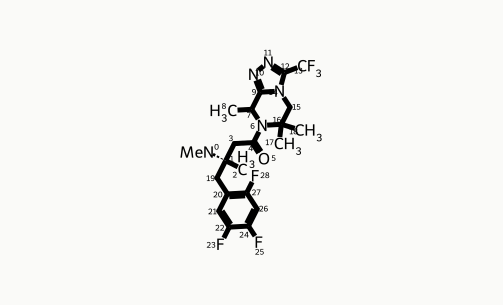 CN[C@@](C)(CC(=O)N1C(C)c2nnc(C(F)(F)F)n2CC1(C)C)Cc1cc(F)c(F)cc1F